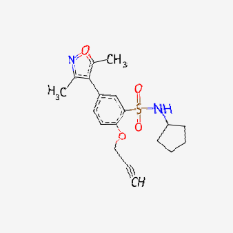 C#CCOc1ccc(-c2c(C)noc2C)cc1S(=O)(=O)NC1CCCC1